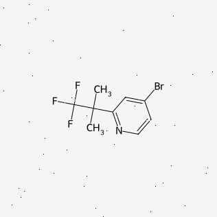 CC(C)(c1cc(Br)ccn1)C(F)(F)F